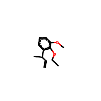 [CH2]C(C=C)c1cccc(OC)c1OCC